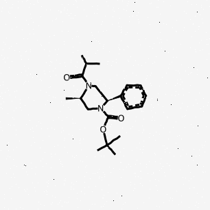 CC(C)C(=O)N1C[C@@H](c2ccccc2)N(C(=O)OC(C)(C)C)C[C@H]1C